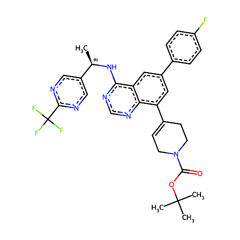 C[C@@H](Nc1ncnc2c(C3=CCN(C(=O)OC(C)(C)C)CC3)cc(-c3ccc(F)cc3)cc12)c1cnc(C(F)(F)F)nc1